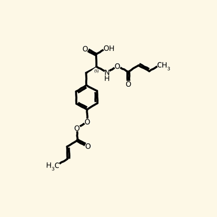 CC=CC(=O)ON[C@@H](Cc1ccc(OOC(=O)C=CC)cc1)C(=O)O